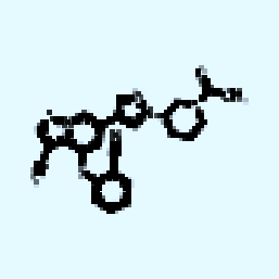 CC(=O)N1CCC[C@H](n2cc(-c3cc(Sc4ccccc4C#N)c4c(C#N)cnn4c3)cn2)C1